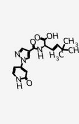 CC(C)(C)/C=C/[C@@H](NC(=O)c1cnn(-c2cc[nH]c(=O)c2)c1)C(=O)O